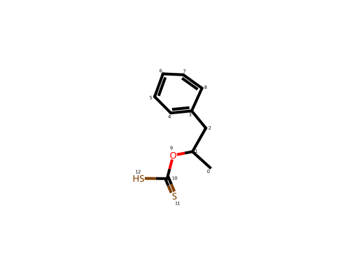 CC(Cc1ccccc1)OC(=S)S